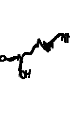 NCCCNCCCN(CCO)CCO